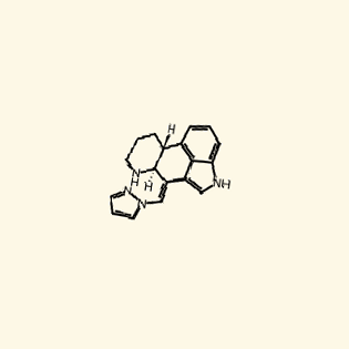 C(=C1\c2c[nH]c3cccc(c23)[C@H]2CCCN[C@H]12)/n1cccn1